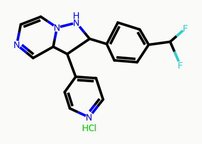 Cl.FC(F)c1ccc(C2NN3C=CN=CC3C2c2ccncc2)cc1